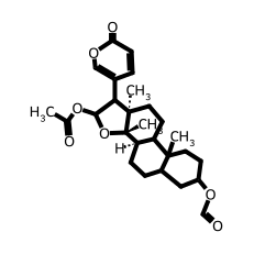 CC(=O)OC1O[C@@]2(C)[C@@H]3CCC4CC(OC=O)CCC4(C)C3CC[C@]2(C)C1c1ccc(=O)oc1